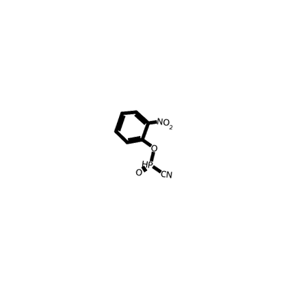 N#C[PH](=O)Oc1ccccc1[N+](=O)[O-]